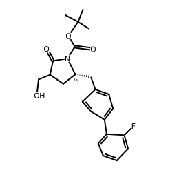 CC(C)(C)OC(=O)N1C(=O)C(CO)C[C@H]1Cc1ccc(-c2ccccc2F)cc1